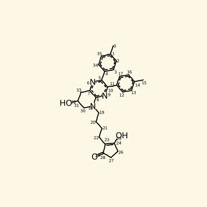 Cc1ccc(-c2nc3c(nc2-c2ccc(C)cc2)N(CCCCC2=C(O)CCC2=O)CC(O)C3)cc1